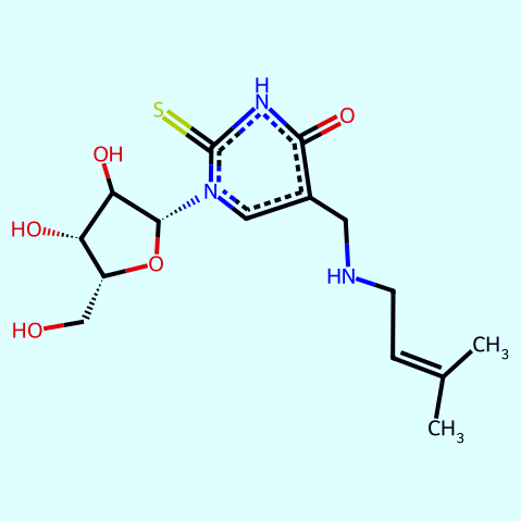 CC(C)=CCNCc1cn([C@@H]2O[C@H](CO)[C@H](O)C2O)c(=S)[nH]c1=O